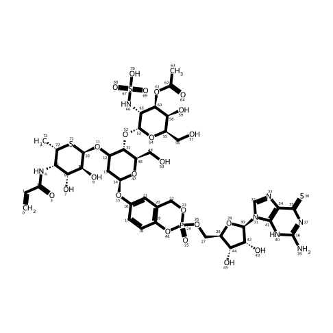 C=CC(=O)N[C@H]1[C@@H](O)[C@H](O)[C@H](OC2C[C@H](Oc3ccc4c(c3)COP(=O)(OC[C@H]3O[C@@H](n5cnc6c(=S)nc(N)[nH]c65)[C@H](O)[C@@H]3O)O4)O[C@H](CO)[C@H]2O[C@H]2O[C@H](CO)[C@H](O)[C@H](OC(C)=O)[C@H]2NS(=O)(=O)O)S[C@H]1C